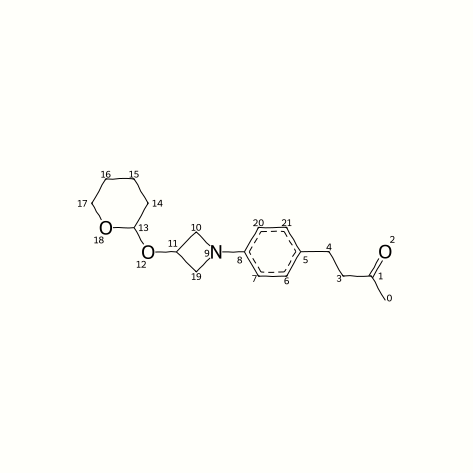 CC(=O)CCc1ccc(N2CC(OC3CCCCO3)C2)cc1